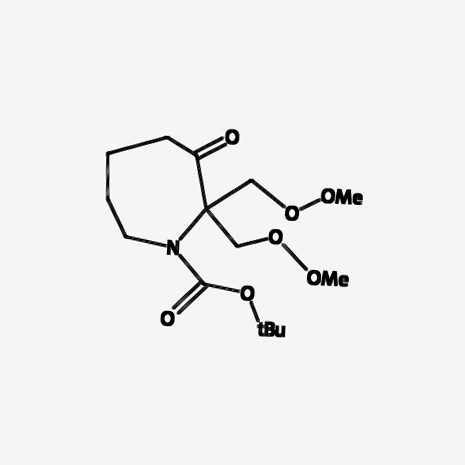 COOCC1(COOC)C(=O)CCCCN1C(=O)OC(C)(C)C